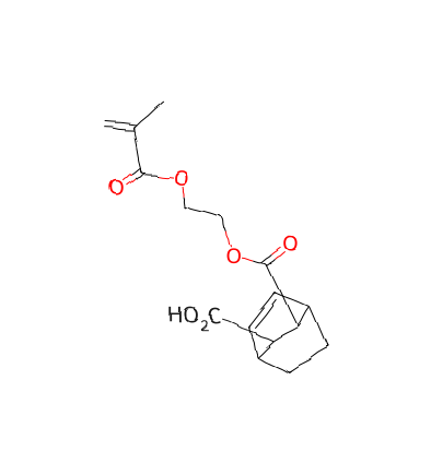 C=C(C)C(=O)OCCOC(=O)C1C2C=CC(CC2)C1C(=O)O